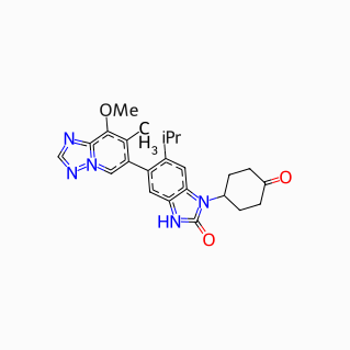 COc1c(C)c(-c2cc3[nH]c(=O)n(C4CCC(=O)CC4)c3cc2C(C)C)cn2ncnc12